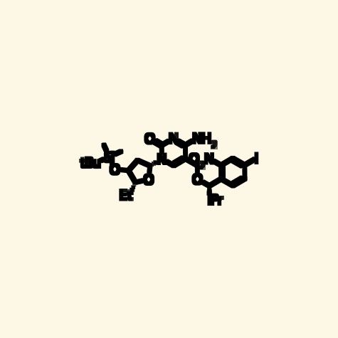 CC[C@H]1O[C@@H](n2cc(CO[C@@H](c3ccc(I)cc3[N+](=O)[O-])C(C)C)c(N)nc2=O)CC1O[Si](C)(C)C(C)(C)C